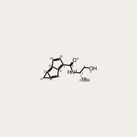 CC(C)(C)[C@@H](CO)NC(=O)C1=C2C=C3CC3=C2C=C1